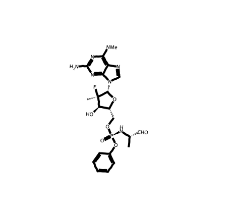 CNc1nc(N)nc2c1ncn2[C@@H]1O[C@H](CO[P@](=O)(N[C@@H](C)C=O)Oc2ccccc2)[C@@H](O)[C@@]1(C)F